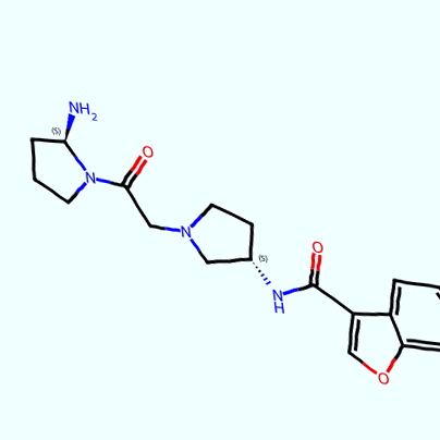 N[C@@H]1CCCN1C(=O)CN1CC[C@H](NC(=O)c2coc3c(F)cccc23)C1